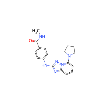 CNC(=O)c1ccc(Nc2nc3cccc(N4CCCC4)n3n2)cc1